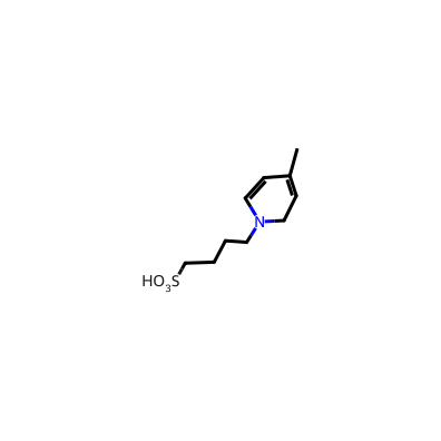 CC1=CCN(CCCCS(=O)(=O)O)C=C1